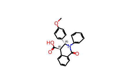 COc1ccc([C@H]2[C@H](C(=O)O)c3ccccc3C(=O)N2c2ccccc2)cc1